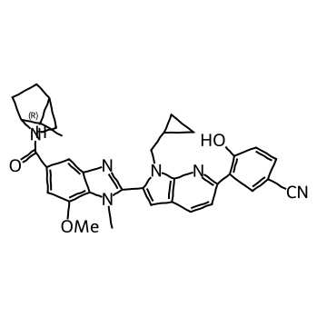 COc1cc(C(=O)N2CC3CCC2[C@@H]3C)cc2nc(-c3cc4ccc(-c5cc(C#N)ccc5O)nc4n3CC3CC3)n(C)c12